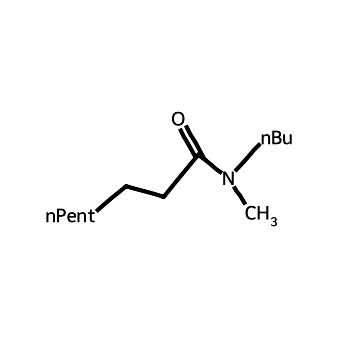 [CH2]CCCCCCC(=O)N(C)CCCC